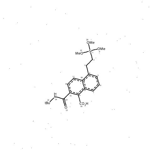 CO[Si](CCc1cccc2c(C(=O)O)c(C(=O)NC(C)(C)C)ccc12)(OC)OC